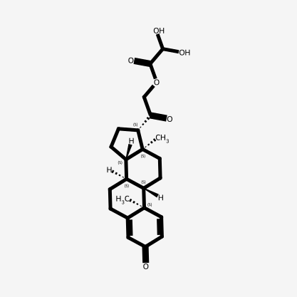 C[C@]12CC[C@H]3[C@@H](CCC4=CC(=O)C=C[C@@]43C)[C@@H]1CC[C@@H]2C(=O)COC(=O)C(O)O